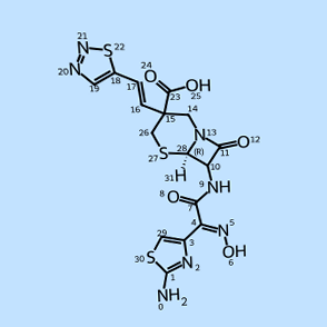 Nc1nc(C(=NO)C(=O)NC2C(=O)N3CC(C=Cc4cnns4)(C(=O)O)CS[C@H]23)cs1